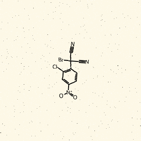 N#CC(Br)(C#N)c1ccc([N+](=O)[O-])cc1Cl